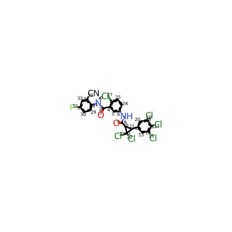 CN(C(=O)c1cc(NC(=O)C2C(c3cc(Cl)c(Cl)c(Cl)c3)C2(Cl)Cl)ccc1Cl)c1ccc(F)cc1C#N